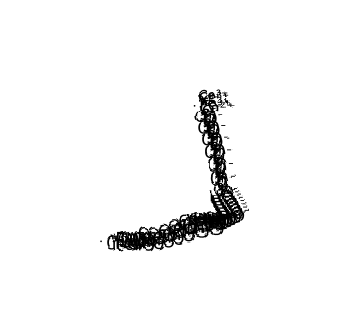 O=[Si]([O-])[O-].O=[Si]([O-])[O-].O=[Si]([O-])[O-].O=[Si]([O-])[O-].O=[Si]([O-])[O-].O=[Si]([O-])[O-].O=[Si]([O-])[O-].O=[Si]([O-])[O-].O=[Si]([O-])[O-].O=[Si]([O-])[O-].O=[Si]([O-])[O-].O=[Si]([O-])[O-].O=[Si]([O-])[O-].O=[Si]([O-])[O-].[Al+3].[Al+3].[Al+3].[Ca+2].[Ca+2].[Ca+2].[Ce+3].[Ce+3].[Ce+3].[Fe+3].[Fe+3].[Fe+3].[OH-].[OH-].[OH-].[OH-].[OH-].[OH-].[OH-].[OH-].[OH-].[OH-].[OH-].[OH-].[OH-].[OH-].[Y+3].[Y+3].[Y+3]